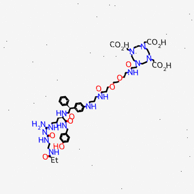 CCC(=O)NCCNC(=O)/N=C(/N)NCCC[C@@H](NC(=O)[C@@H](c1ccccc1)c1ccc(NCCCNC(=O)CCOCCOCCNC(=O)CN2CCN(CC(=O)O)CCN(CC(=O)O)CCN(CC(=O)O)CC2)cc1)C(=O)NCc1ccc(O)cc1